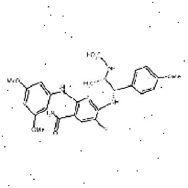 COc1ccc([C@H](Nc2nc(Nc3cc(OC)nc(OC)c3)c(C(N)=O)cc2F)[C@H](C)NC(=O)O)cc1